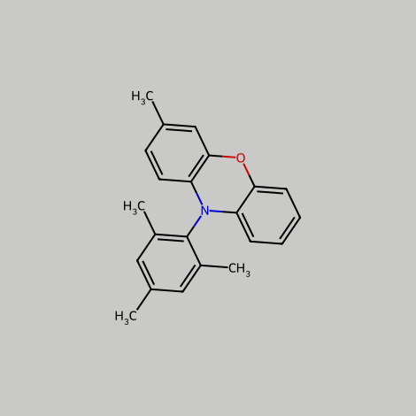 Cc1cc(C)c(N2c3ccccc3Oc3cc(C)ccc32)c(C)c1